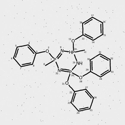 CP1(Oc2ccccc2)=N[PH](C)(Oc2ccccc2)NP(Oc2ccccc2)(Oc2ccccc2)=N1